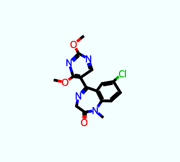 COc1ncc(C2=NCC(=O)N(C)c3ccc(Cl)cc32)c(OC)n1